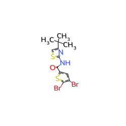 CC(C)(C)c1csc(NC(=O)c2cc(Br)c(Br)s2)n1